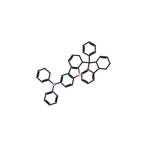 C1=CCCC(N(c2ccccc2)c2ccc3oc4c(c3c2)C=CCC4C2(c3ccccc3)c3ccccc3C3CCC=CC32)=C1